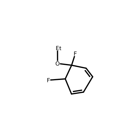 CCOC1(F)C=CC=CC1F